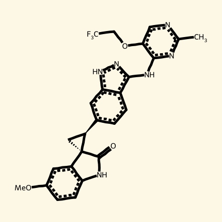 COc1ccc2c(c1)[C@]1(C[C@H]1c1ccc3c(Nc4nc(C)ncc4OCC(F)(F)F)n[nH]c3c1)C(=O)N2